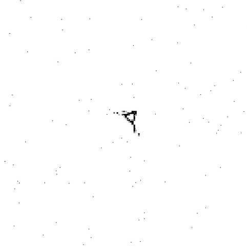 CCC1C[C@H]1F